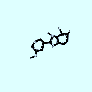 COc1cncc(-c2nc3ccc(F)c(F)c3n2C)c1